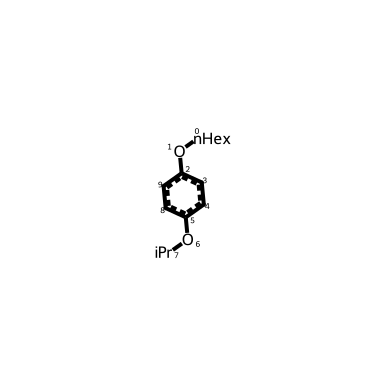 CCCCCCOc1ccc(OC(C)C)cc1